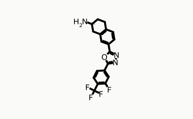 N[C]1CCc2ccc(-c3nnc(-c4ccc(C(F)(F)F)c(F)c4)o3)cc2C1